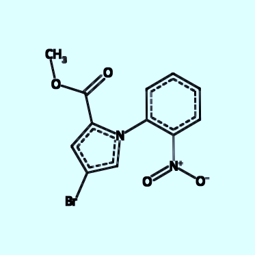 COC(=O)c1cc(Br)cn1-c1ccccc1[N+](=O)[O-]